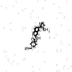 CC(C)CN1CCC(F)(C(=O)Nc2cc3cc(-c4nncn4C)ccc3cn2)CC1